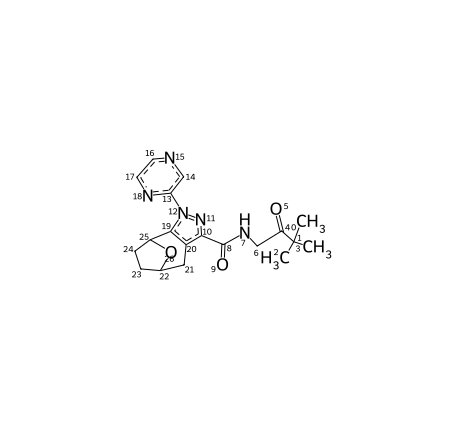 CC(C)(C)C(=O)CNC(=O)c1nn(-c2cnccn2)c2c1CC1CCC2O1